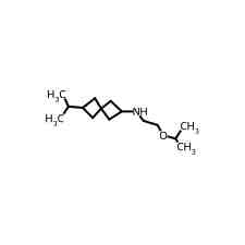 CC(C)OCCNC1CC2(C1)CC(C(C)C)C2